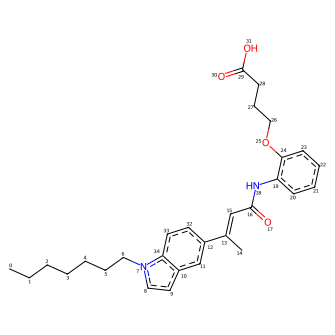 CCCCCCCn1ccc2cc(C(C)=CC(=O)Nc3ccccc3OCCCC(=O)O)ccc21